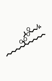 CCCCCCCCCC(CCCCCCCCC)C(=O)OCC(C)OC(=O)CCCN(C)C